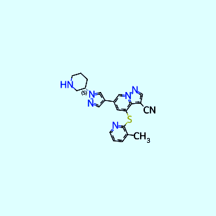 Cc1cccnc1Sc1cc(-c2cnn([C@H]3CCCNC3)c2)cn2ncc(C#N)c12